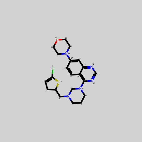 ClC1=CCC(CN2CCCN(c3ncnc4cc(N5CCOCC5)ccc34)C2)S1